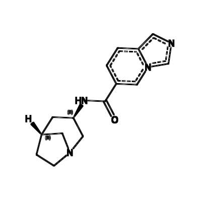 O=C(N[C@@H]1C[C@H]2CCN(C2)C1)c1ccc2cncn2c1